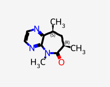 C[C@@H]1C[C@H](C)c2nccnc2N(C)C1=O